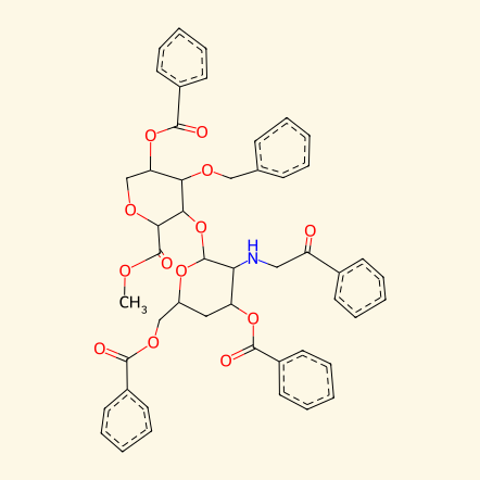 COC(=O)C1OCC(OC(=O)c2ccccc2)C(OCc2ccccc2)C1OC1OC(COC(=O)c2ccccc2)CC(OC(=O)c2ccccc2)C1NCC(=O)c1ccccc1